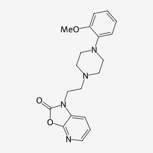 COc1ccccc1N1CCN(CCn2c(=O)oc3ncccc32)CC1